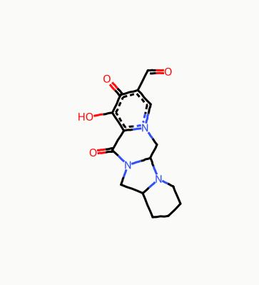 O=Cc1cn2c(c(O)c1=O)C(=O)N1CC3CCCCN3C1C2